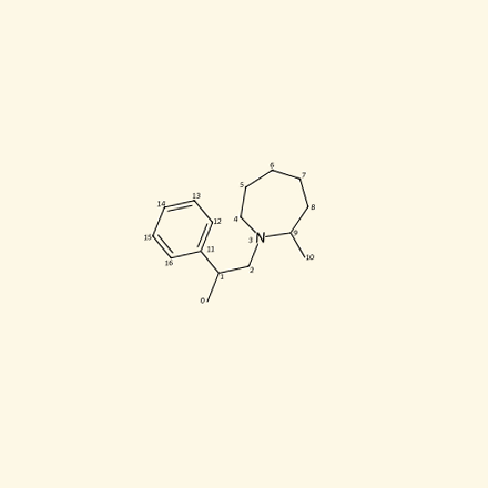 CC(CN1CCCCCC1C)c1ccccc1